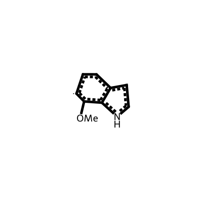 COc1[c]ccc2cc[nH]c12